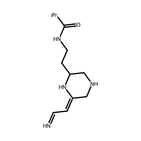 CC(C)C(=O)NCCC1CNC/C(=C/C=N)N1